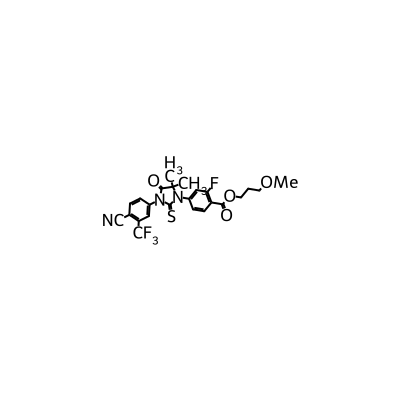 COCCCOC(=O)c1ccc(N2C(=S)N(c3ccc(C#N)c(C(F)(F)F)c3)C(=O)C2(C)C)cc1F